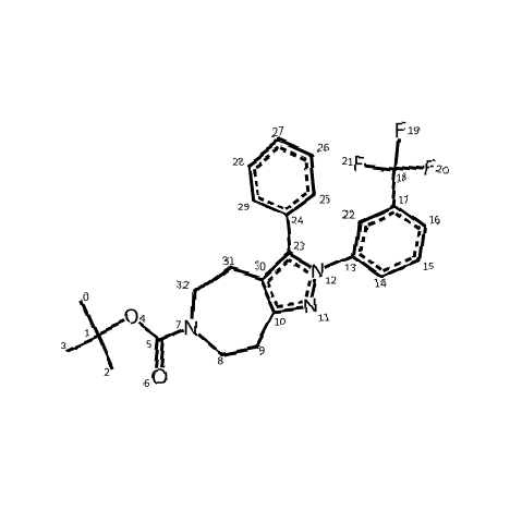 CC(C)(C)OC(=O)N1CCc2nn(-c3cccc(C(F)(F)F)c3)c(-c3ccccc3)c2CC1